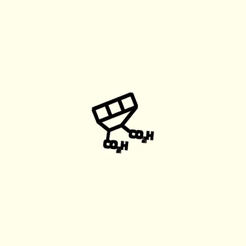 O=C(O)C1C(C(=O)O)C2C3C4C1C1C2C3C41